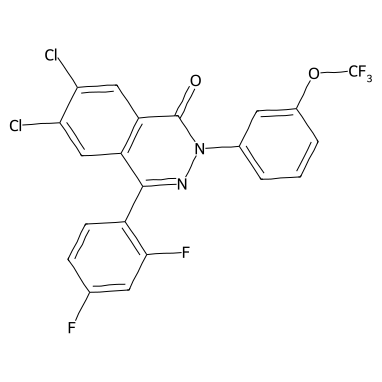 O=c1c2cc(Cl)c(Cl)cc2c(-c2ccc(F)cc2F)nn1-c1cccc(OC(F)(F)F)c1